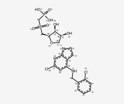 O=P(O)(O)CS(=O)(=O)C[C@@H]1O[C@@H](n2ncc3c(NCc4ccccc4Cl)nc(Cl)nc32)[C@H](O)[C@@H]1O